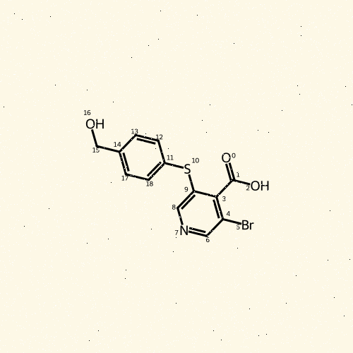 O=C(O)c1c(Br)cncc1Sc1ccc(CO)cc1